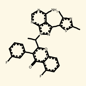 Cc1nc(C)c(-c2nn(C(C)c3oc4cccc(F)c4c(=O)c3-c3cccc(F)c3)c3ncnc(N)c23)s1